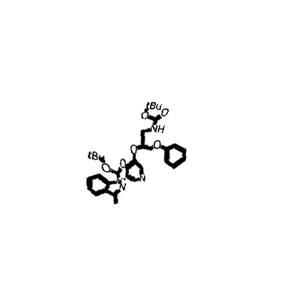 CC1=N[N+](C(=O)OC(C)(C)C)(c2cncc(OC(CNC(=O)OC(C)(C)C)COc3ccccc3)c2)c2ccccc21